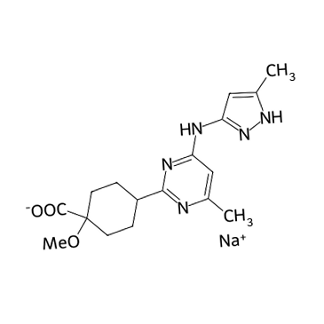 COC1(C(=O)[O-])CCC(c2nc(C)cc(Nc3cc(C)[nH]n3)n2)CC1.[Na+]